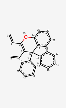 C=CC1=C(C=C)C(c2ccccc2)(c2ccccc2)c2ccccc2O1